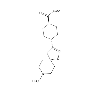 COC(=O)[C@H]1CC[C@H](C2=NOC3(CCN(C(=O)O)CC3)C2)CC1